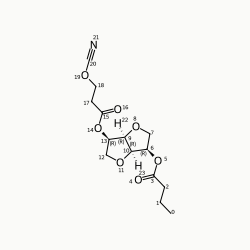 CCCC(=O)O[C@@H]1CO[C@H]2[C@@H]1OC[C@H]2OC(=O)CCOC#N